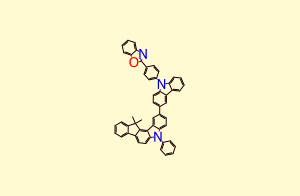 CC1(C)c2ccccc2-c2ccc3c(c21)c1cc(-c2ccc4c(c2)c2ccccc2n4-c2ccc(-c4nc5ccccc5o4)cc2)ccc1n3-c1ccccc1